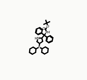 CC(C)(C)OC(=O)PC(c1ccccc1)(c1ccccc1)C1CC(P(C2CCCCC2)C2CCCCC2)CN1